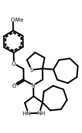 COc1ccc(OCC(=O)N(CC2(C3CCCCCC3)CCCS2)C2CNNC23CCCCCC3)cc1